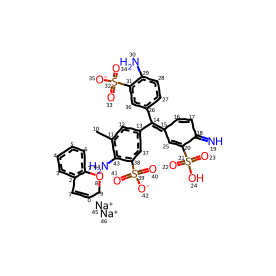 C1=Cc2ccccc2OC1.Cc1cc(/C(=C2/C=CC(=N)C(S(=O)(=O)O)=C2)c2ccc(N)c(S(=O)(=O)[O-])c2)cc(S(=O)(=O)[O-])c1N.[Na+].[Na+]